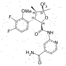 COc1c([C@@H]2[C@@H](C)[C@@](C)(C(F)(F)F)O[C@H]2C(=O)Nc2cc(C(N)=O)ccn2)ccc(F)c1F